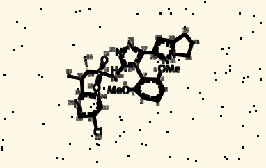 COc1cccc(OC)c1-n1c(NS(=O)(=O)[C@@H](C)[C@H](C)c2ncc(Cl)cn2)nnc1-c1cc2n(n1)CCC2